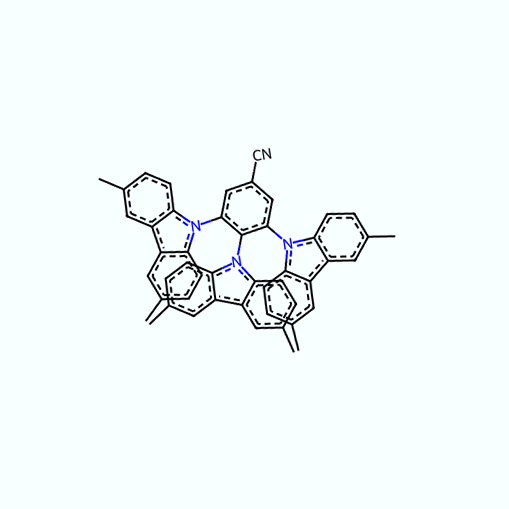 Cc1ccc2c(c1)c1cc(C)ccc1n2-c1cc(C#N)cc(-n2c3ccc(C)cc3c3cc(C)ccc32)c1-n1c2ccc(C)cc2c2cc(C)ccc21